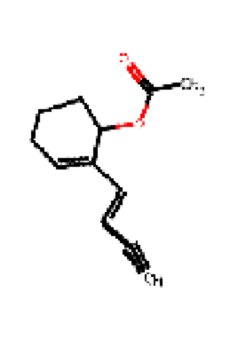 C#CC=CC1=CCCCC1OC(C)=O